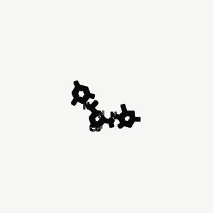 CC(=Nc1c(C)cc(C)cc1C)c1cccc(C(C)=Nc2c(C)cc(C)cc2C)n1.[Co]